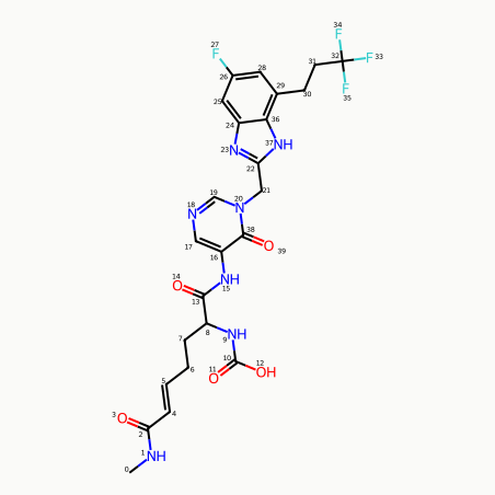 CNC(=O)/C=C/CCC(NC(=O)O)C(=O)Nc1cncn(Cc2nc3cc(F)cc(CCC(F)(F)F)c3[nH]2)c1=O